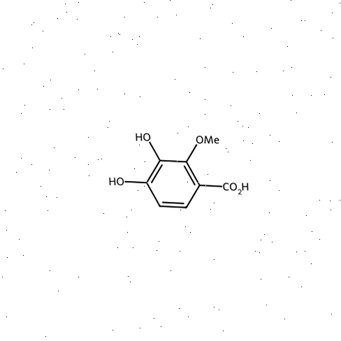 COc1c(C(=O)O)ccc(O)c1O